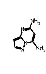 Nc1cc(N)n2nccc2n1